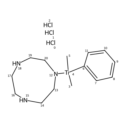 Cl.Cl.Cl.[CH3][Ti]([CH3])([c]1ccccc1)[N]1CCNCCNCC1